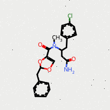 CN(C(=O)C1=COC(Cc2ccccc2)O1)C(CC(N)=O)Cc1ccc(Cl)cc1